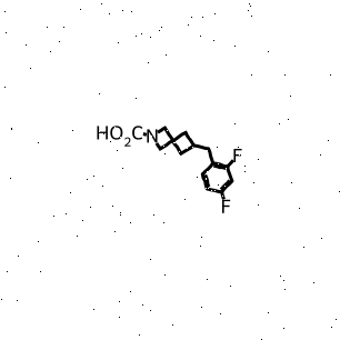 O=C(O)N1CC2(CC(Cc3ccc(F)cc3F)C2)C1